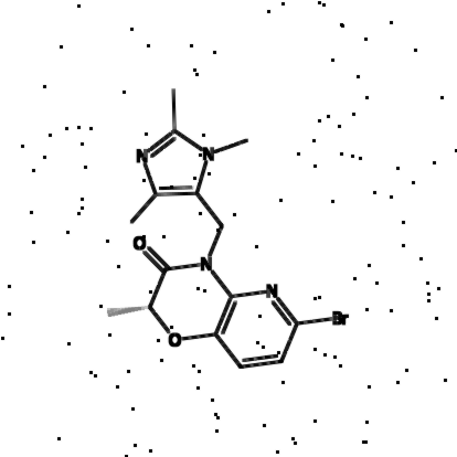 Cc1nc(C)n(C)c1CN1C(=O)[C@@H](C)Oc2ccc(Br)nc21